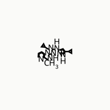 CC(Nc1nc(Nc2cc(C3CC3)[nH]n2)nc(C2CC2)n1)c1ccccn1